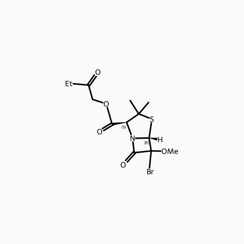 CCC(=O)COC(=O)[C@@H]1N2C(=O)C(Br)(OC)[C@H]2SC1(C)C